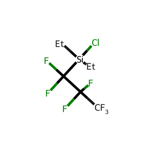 CC[Si](Cl)(CC)C(F)(F)C(F)(F)C(F)(F)F